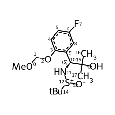 COCOc1ccc(F)cc1[C@H](N[S+]([O-])C(C)(C)C)C(C)(C)O